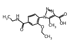 CCNC(=O)c1ccc(-n2nnc(C(=O)O)c2C)c(OCC)c1